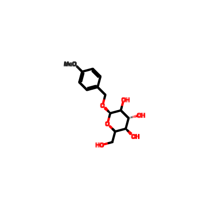 COc1ccc(CO[C@@H]2OC(CO)[C@H](O)[C@@H](O)C2O)cc1